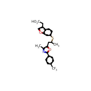 Cc1nc(-c2ccc(C(F)(F)F)cc2)oc1CC(C)Sc1ccc2c(CC(=O)O)coc2c1